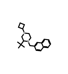 CC(C)(C)C1CN(C2CCC2)CCN1Cc1ccc2ccccc2c1